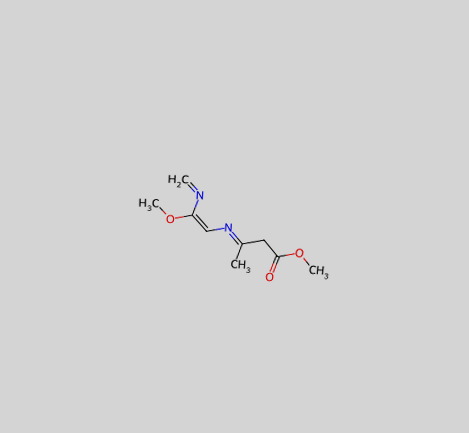 C=N/C(=C\N=C(/C)CC(=O)OC)OC